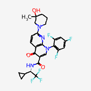 CC1(O)CCCN(c2ccc3c(=O)c(C(=O)N[C@@H](C4CC4)C(F)(F)F)cn(-c4c(F)cc(F)cc4F)c3n2)C1